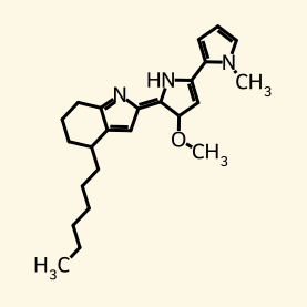 CCCCCCC1CCCC2=NC(=C3NC(c4cccn4C)=CC3OC)C=C21